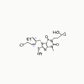 CC/C=C(\C=C/CCl)Cn1c(SCCC)nc2c1c(=O)n(CCC1(O)CC1)c(=O)n2C